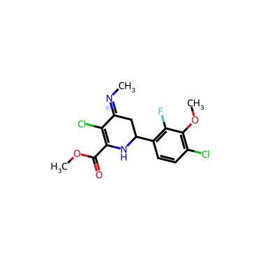 C/N=C1\CC(c2ccc(Cl)c(OC)c2F)NC(C(=O)OC)=C1Cl